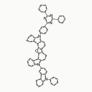 c1ccc(-c2nc(-c3ccccc3)nc(-c3ccc(-n4c5ccccc5c5c6oc7c(ccc8c7c7ccccc7n8-c7ccc8c(c7)c7ccccc7n8-c7ccccc7)c6ccc54)cc3)n2)cc1